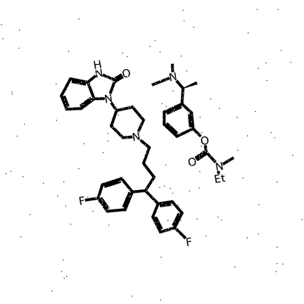 CCN(C)C(=O)Oc1cccc([C@H](C)N(C)C)c1.O=c1[nH]c2ccccc2n1C1CCN(CCCC(c2ccc(F)cc2)c2ccc(F)cc2)CC1